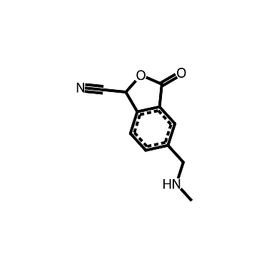 CNCc1ccc2c(c1)C(=O)OC2C#N